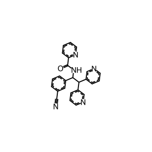 N#Cc1cccc(C(NC(=O)c2ccccn2)C(c2cccnc2)c2cccnc2)c1